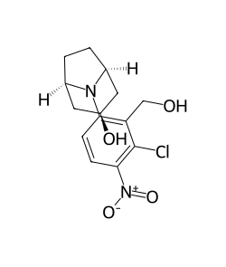 O=[N+]([O-])c1ccc(N2[C@@H]3CC[C@H]2C[C@@H](O)C3)c(CO)c1Cl